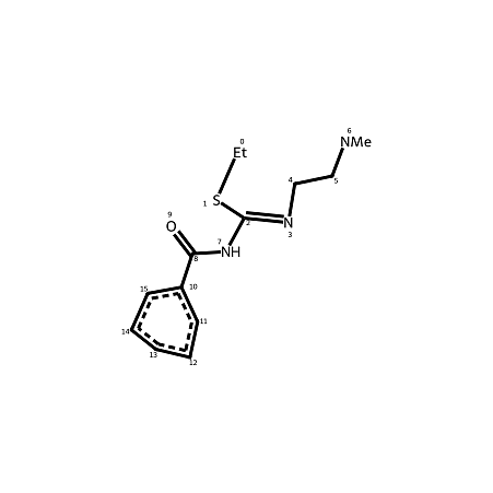 CCS/C(=N\CCNC)NC(=O)c1ccccc1